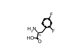 N[C@@H](Cc1ccc(F)cc1F)C(=O)O